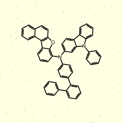 c1ccc(-c2ccccc2-c2ccc(N(c3ccc4c5ccccc5n(-c5ccccc5)c4c3)c3cccc4c3oc3ccc5ccccc5c34)cc2)cc1